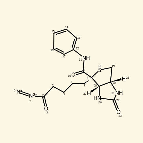 [N-]=[N+2]C(=O)CCCC[C@]1(C(=O)Nc2ccccc2)SC[C@@H]2NC(=O)N[C@@H]21